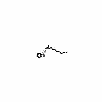 CC(CCCCCCCC#N)=NOS(=O)(=O)c1ccccc1